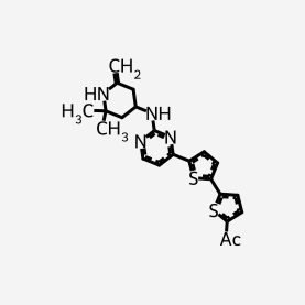 C=C1CC(Nc2nccc(-c3ccc(-c4ccc(C(C)=O)s4)s3)n2)CC(C)(C)N1